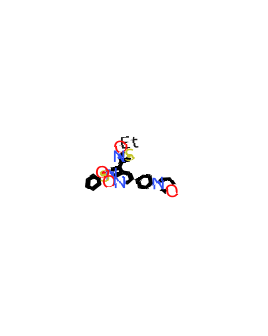 CCOc1nc(-c2cn(S(=O)(=O)c3ccccc3)c3ncc([C@H]4CC[C@H](N5CCCOCC5)CC4)cc23)cs1